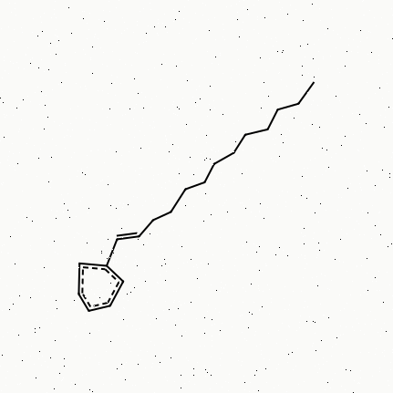 CCCCCCCCCCCC=Cc1ccccc1